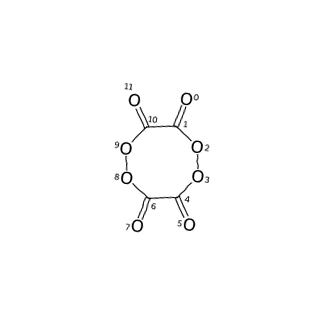 O=C1OOC(=O)C(=O)OOC1=O